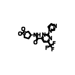 O=C(N[C@@H]1CCS(=O)(=O)C1)c1cc(C(F)(F)F)nc(-n2ccnc2)n1